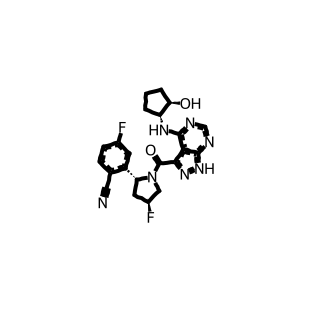 N#Cc1ccc(F)cc1[C@H]1C[C@H](F)CN1C(=O)c1n[nH]c2ncnc(N[C@@H]3CCC[C@H]3O)c12